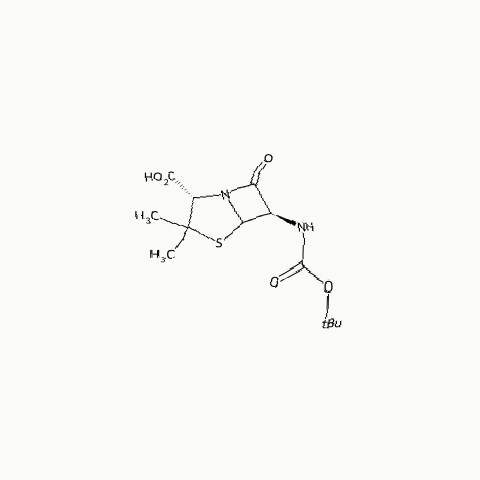 CC(C)(C)OC(=O)N[C@@H]1C(=O)N2C1SC(C)(C)[C@@H]2C(=O)O